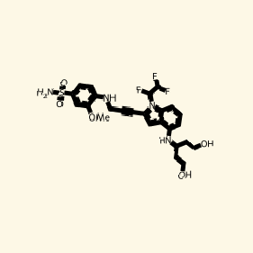 COc1cc(S(N)(=O)=O)ccc1NCC#Cc1cc2c(NC(CCO)CCO)cccc2n1C(F)C(F)F